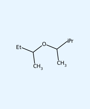 CCC(C)OC(C)C(C)C